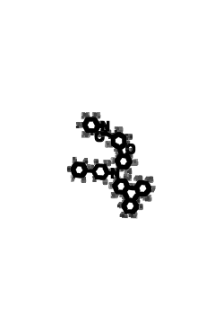 C1=CC(c2ccccc2)CC=C1N(c1ccc2oc3ccc(-c4nc5ccccc5o4)cc3c2c1)c1ccc2c3ccccc3c3ccccc3c2c1